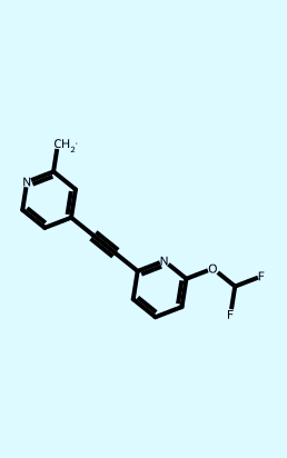 [CH2]c1cc(C#Cc2cccc(OC(F)F)n2)ccn1